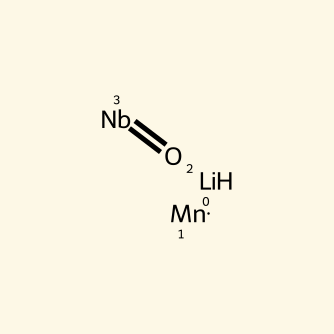 [LiH].[Mn].[O]=[Nb]